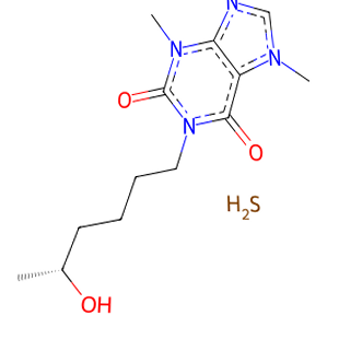 C[C@@H](O)CCCCn1c(=O)c2c(ncn2C)n(C)c1=O.S